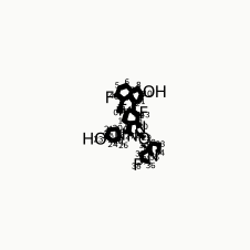 C#Cc1c(F)ccc2cc(O)cc(-c3c(F)cc4c(N5CC[C@H](O)C[C@H]5C)nc(OC[C@@]56CCCN5C[C@H](F)C6)nc4c3F)c12